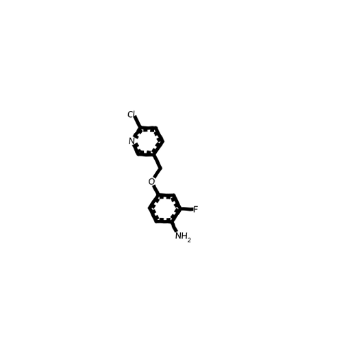 Nc1ccc(OCc2ccc(Cl)nc2)cc1F